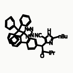 CCCCc1nc(C(C(=O)C(C)C)c2ccc(-c3ccccc3C3(C(c4ccccc4)(c4ccccc4)c4ccccc4)N=NN=N3)cc2)c(C#N)[nH]1